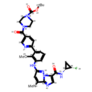 CNc1cc(Nc2cccc(-c3ccc(C(=O)N4CCN(C(=O)OC(C)(C)C)CC4)cn3)c2OC)nn2c(C(=O)N[C@@H]3C[C@@H]3F)cnc12